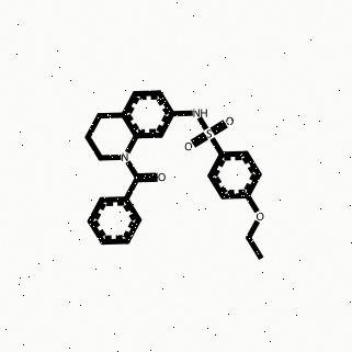 CCOc1ccc(S(=O)(=O)Nc2ccc3c(c2)N(C(=O)c2ccccc2)CCC3)cc1